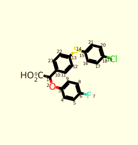 O=C(O)C(Oc1ccc(F)cc1)c1ccc(Sc2ccc(Cl)cc2)cc1